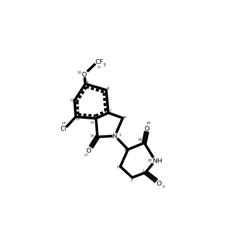 O=C1CCC(N2Cc3cc(OC(F)(F)F)cc(Cl)c3C2=O)C(=O)N1